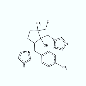 Cc1ccc(CC2CCC(C)(CCl)C2(O)Cn2cncn2)cc1.c1c[nH]cn1